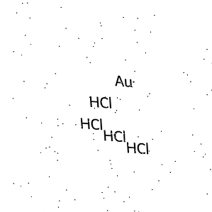 Cl.Cl.Cl.Cl.[Au]